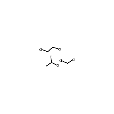 CC(Cl)Cl.ClCCCl.ClCCl